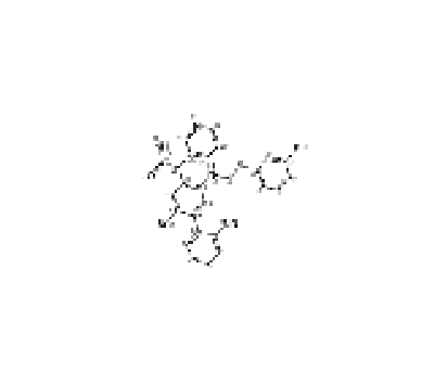 N#Cc1ccccc1-c1nc(NCCc2cccc(F)c2)c(C(C(N)=O)c2cccnc2)cc1Br